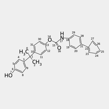 CC(C)(c1ccc(O)cc1)c1ccc(OC(=O)Nc2ccc(-c3ccccc3)cc2)cc1